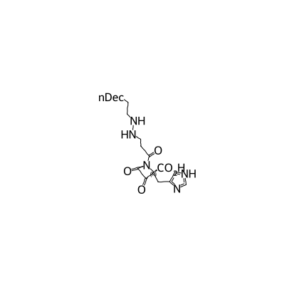 CCCCCCCCCCCCNNCCC(=O)N1C(=O)C(=O)[C@]1(Cc1c[nH]cn1)C(=O)O